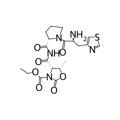 CCOC(=O)N1C(=O)O[C@@H](C)[C@H]1C(=O)NC(=O)[C@@H]1CCCN1C(=O)[C@@H](N)Cc1cscn1